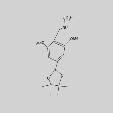 COc1cc(B2OC(C)(C)C(C)(C)O2)cc(OC)c1CNC(=O)O